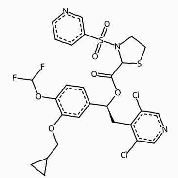 O=C(O[C@@H](Cc1c(Cl)cncc1Cl)c1ccc(OC(F)F)c(OCC2CC2)c1)C1SCCN1S(=O)(=O)c1cccnc1